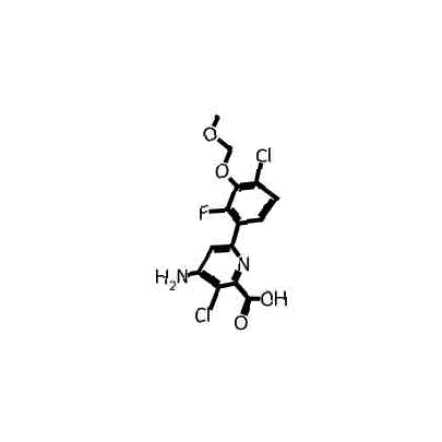 COCOc1c(Cl)ccc(-c2cc(N)c(Cl)c(C(=O)O)n2)c1F